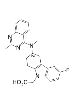 Cc1nc(N(C)[C@H]2CCc3c(c4cc(F)ccc4n3CC(=O)O)C2)c2ccccc2n1